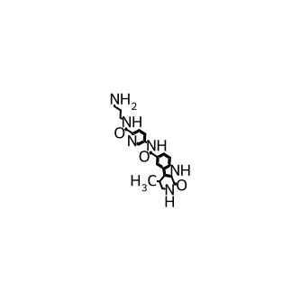 CC1CNC(=O)c2[nH]c3ccc(C(=O)Nc4ccc(C(=O)NCCCN)nc4)cc3c21